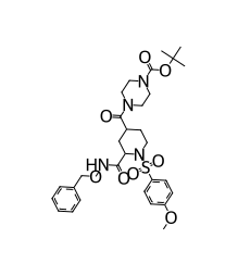 COc1ccc(S(=O)(=O)N2CCC(C(=O)N3CCN(C(=O)OC(C)(C)C)CC3)CC2C(=O)NOCc2ccccc2)cc1